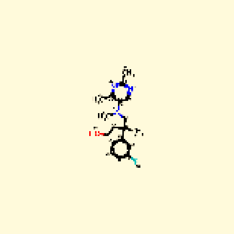 Cc1ncc(N(C)C[C@@](C)(CCO)c2cccc(F)c2)c(C)n1